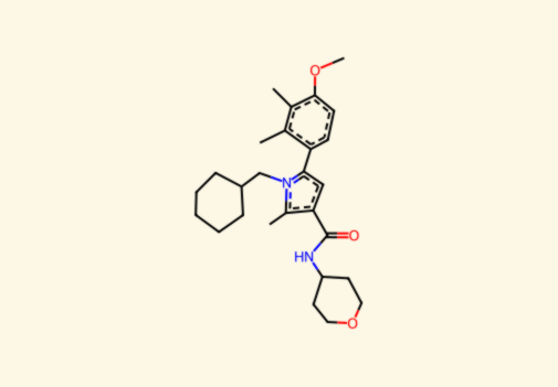 COc1ccc(-c2cc(C(=O)NC3CCOCC3)c(C)n2CC2CCCCC2)c(C)c1C